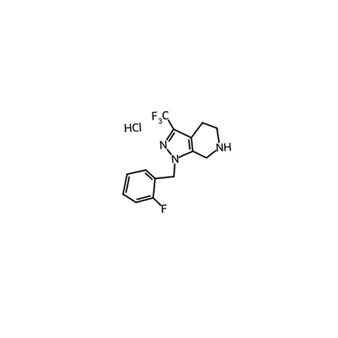 Cl.Fc1ccccc1Cn1nc(C(F)(F)F)c2c1CNCC2